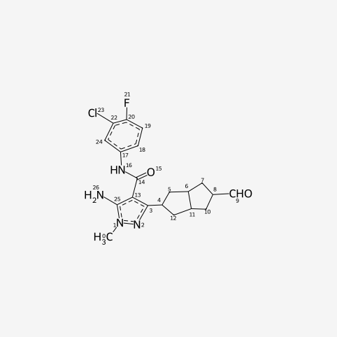 Cn1nc(C2CC3CC(C=O)CC3C2)c(C(=O)Nc2ccc(F)c(Cl)c2)c1N